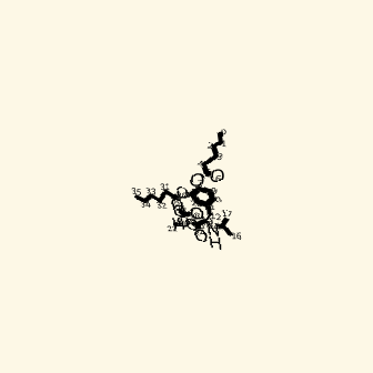 CCCCCC(=O)Oc1ccc(C[C@](NC(C)C)(OC(=O)OC)C(=O)O)cc1OC(=O)CCCCC